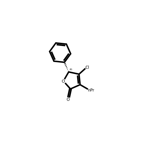 CCCC1=C(Cl)[C@@H](c2ccccc2)OC1=O